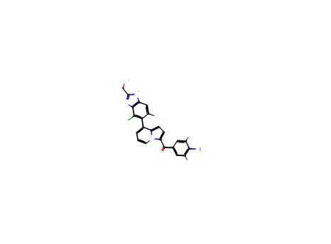 Cn1c(CO)nc2c(Cl)c(-c3cccn4c(C(=O)c5cc(F)c(N)c(F)c5)ccc34)c(C(F)(F)F)cc21